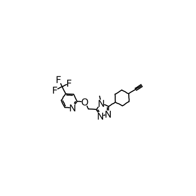 C#CC1CCC(c2nnc(COc3cc(C(F)(F)F)ccn3)n2C)CC1